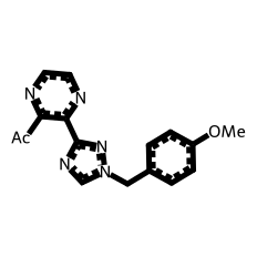 COc1ccc(Cn2cnc(-c3nccnc3C(C)=O)n2)cc1